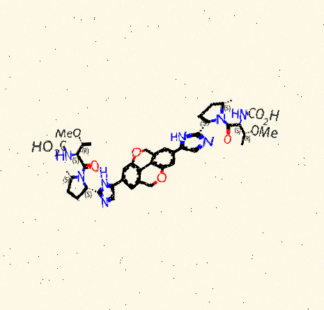 CO[C@H](C)[C@H](NC(=O)O)C(=O)N1[C@@H](C)CC[C@H]1c1ncc(-c2cc3c4c(c2)OCc2cc(-c5cnc([C@@H]6CC[C@H](C)N6C(=O)[C@@H](NC(=O)O)[C@@H](C)OC)[nH]5)cc(c2-4)OC3)[nH]1